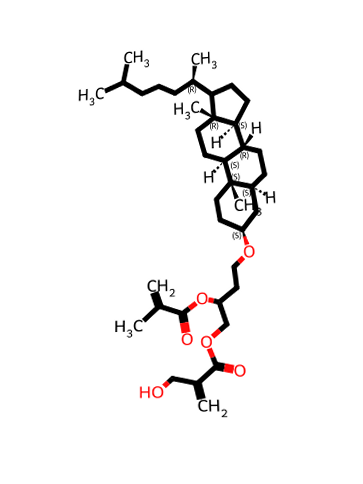 C=C(C)C(=O)OC(CCO[C@H]1CC[C@@]2(C)[C@@H](CC[C@@H]3[C@@H]2CC[C@]2(C)C([C@H](C)CCCC(C)C)CC[C@@H]32)C1)COC(=O)C(=C)CO